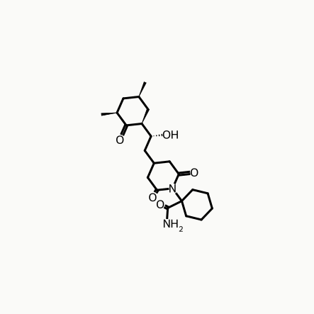 C[C@H]1C[C@@H]([C@H](O)CC2CC(=O)N(C3(C(N)=O)CCCCC3)C(=O)C2)C(=O)[C@@H](C)C1